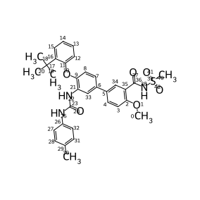 COc1ccc(-c2ccc(Oc3ccccc3C(C)(C)C)c(NC(=O)Nc3ccc(C)cc3)c2)cc1C(=O)NS(C)(=O)=O